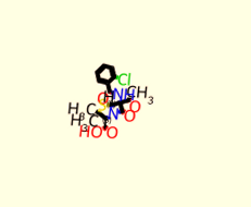 CC(=O)C1(NC(=O)c2ccccc2Cl)C(=O)N2[C@@H](C(=O)O)C(C)(C)S[C@@H]21